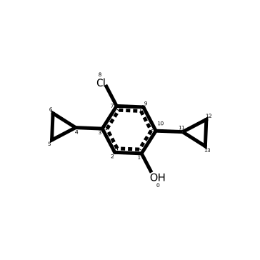 Oc1cc(C2CC2)c(Cl)cc1C1CC1